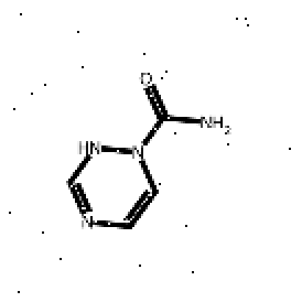 NC(=O)N1C=CN=CN1